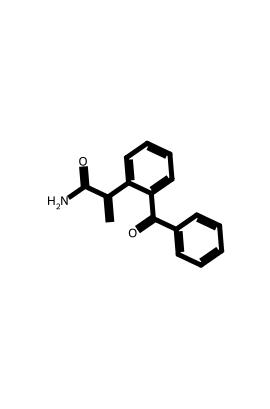 C=C(C(N)=O)c1ccccc1C(=O)c1ccccc1